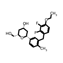 CCOc1ccc(Cc2cc([C@H]3C[C@@H](O)C[C@@H](CO)O3)ccc2C)c(F)c1F